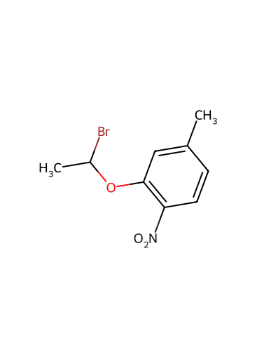 Cc1ccc([N+](=O)[O-])c(OC(C)Br)c1